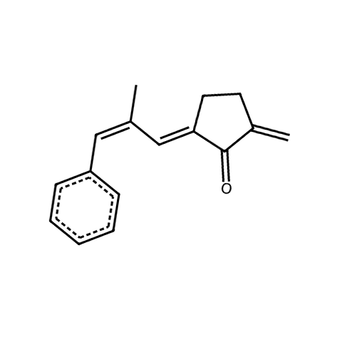 C=C1CCC(=CC(C)=Cc2ccccc2)C1=O